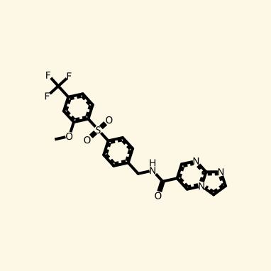 COc1cc(C(F)(F)F)ccc1S(=O)(=O)c1ccc(CNC(=O)c2cnc3nccn3c2)cc1